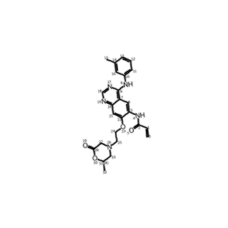 C=CC(=O)Nc1cc2c(Nc3cccc(C)c3)ncnc2cc1OCCN1CC(=O)O[C@H](C)C1